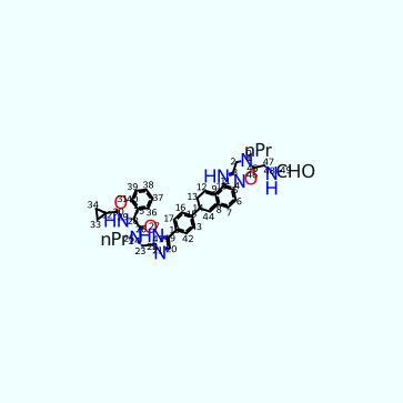 CCCN(Cc1nc2ccc3c(c2[nH]1)=CCC(c1ccc(-c2cnc(CN(CCC)C(=O)[C@H](NC(=O)C4CC4)c4ccccc4)[nH]2)cc1)C=3)C(=O)CNC=O